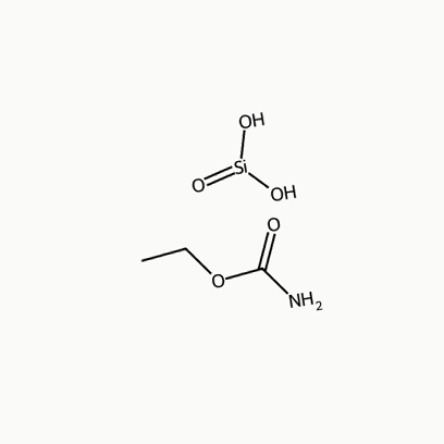 CCOC(N)=O.O=[Si](O)O